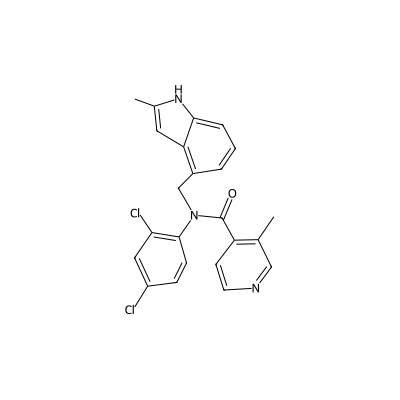 Cc1cc2c(CN(C(=O)c3ccncc3C)c3ccc(Cl)cc3Cl)cccc2[nH]1